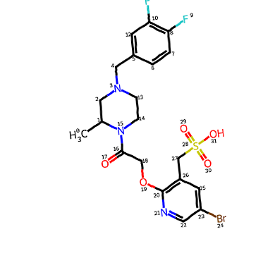 CC1CN(Cc2ccc(F)c(F)c2)CCN1C(=O)COc1ncc(Br)cc1CS(=O)(=O)O